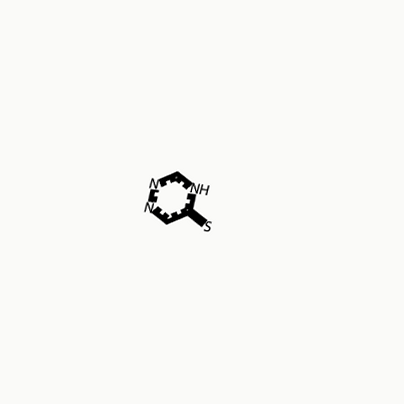 S=c1cnnc[nH]1